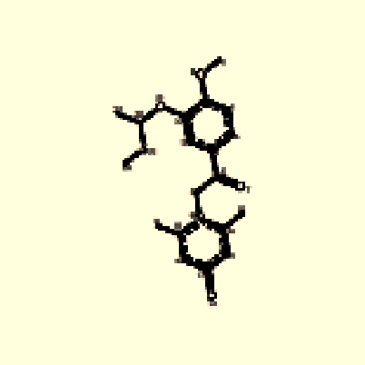 COc1ccc(C(=O)Cn2c(C)cc(=O)cc2C)cc1OC(C)SC